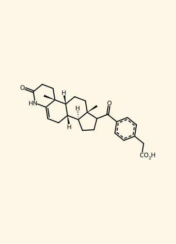 C[C@]12CCC(=O)NC1=CC[C@@H]1[C@H]2CC[C@]2(C)C(C(=O)c3ccc(CC(=O)O)cc3)CC[C@@H]12